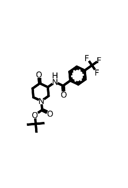 CC(C)(C)OC(=O)N1CCC(=O)C(NC(=O)c2ccc(C(F)(F)F)cc2)C1